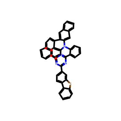 c1ccc(-c2nc(-c3ccc4c(c3)sc3ccccc34)nc(-c3ccccc3N3c4cc5ccccc5cc4-c4cccc5cccc3c45)n2)cc1